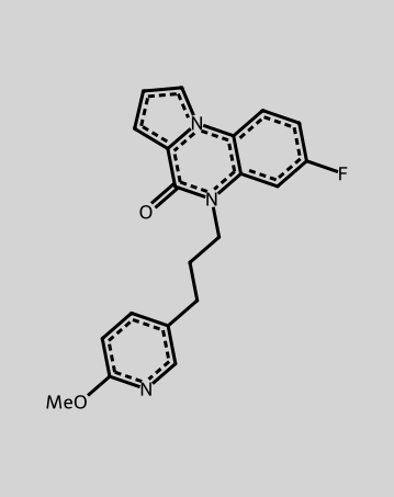 COc1ccc(CCCn2c(=O)c3cccn3c3ccc(F)cc32)cn1